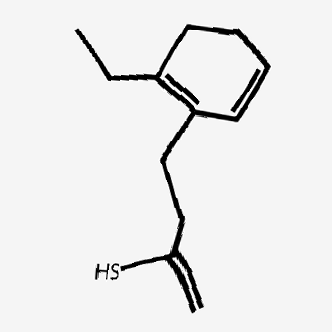 C=C(S)CCC1=C(CC)CCC=C1